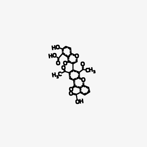 CC(=O)c1cc2c(=O)c3c(C(=O)O)cccc3oc2c(C(C)=O)c1-c1coc2ccc(O)c(C(=O)O)c2c1=O